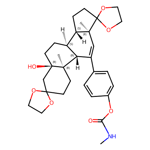 CNC(=O)Oc1ccc(C2=C[C@@]3(C)[C@@H](CCC34OCCO4)[C@@H]3CC[C@@]4(O)CC5(CC[C@]4(C)[C@@H]23)OCCO5)cc1